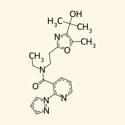 CCN(CCc1nc(C(C)(C)O)c(C)o1)C(=O)c1cccnc1-n1cccn1